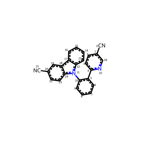 N#Cc1ccc(-c2ccccc2-n2c3ccccc3c3cc(C#N)ccc32)nc1